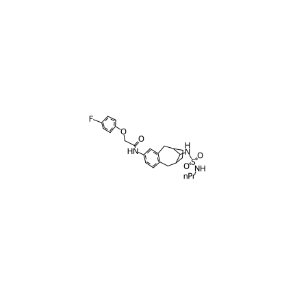 CCCNS(=O)(=O)NC1C2CCC1Cc1cc(NC(=O)COc3ccc(F)cc3)ccc1C2